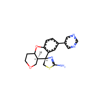 NC1=N[C@@]2(CS1)c1cc(-c3cncnc3)ccc1OC1CCOC[C@@H]12